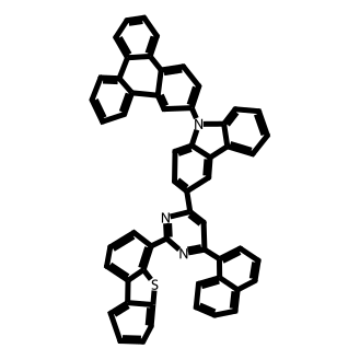 c1ccc2c(-c3cc(-c4ccc5c(c4)c4ccccc4n5-c4ccc5c6ccccc6c6ccccc6c5c4)nc(-c4cccc5c4sc4ccccc45)n3)cccc2c1